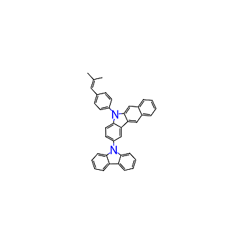 CC(C)=Cc1ccc(-n2c3ccc(-n4c5ccccc5c5ccccc54)cc3c3cc4ccccc4cc32)cc1